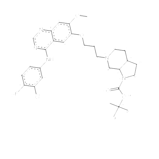 COc1cc2ncnc(Nc3ccc(F)c(Cl)c3)c2cc1OCCCN1CCC2CCN(C(=O)OC(C)(C)C)C2C1